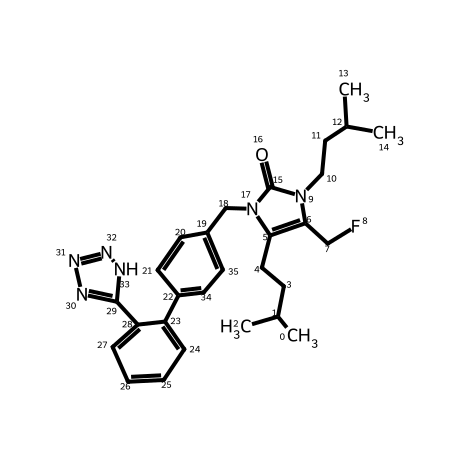 CC(C)CCc1c(CF)n(CCC(C)C)c(=O)n1Cc1ccc(-c2ccccc2-c2nnn[nH]2)cc1